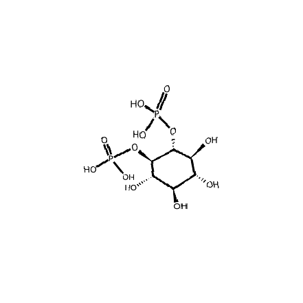 O=P(O)(O)O[C@@H]1[C@@H](O)[C@H](O)[C@@H](O)[C@H](O)[C@H]1OP(=O)(O)O